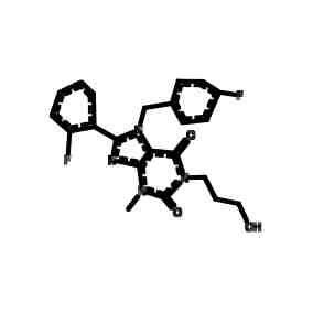 Cn1c(=O)n(CCCO)c(=O)c2c1nc(-c1ccccc1F)n2Cc1ccc(F)cc1